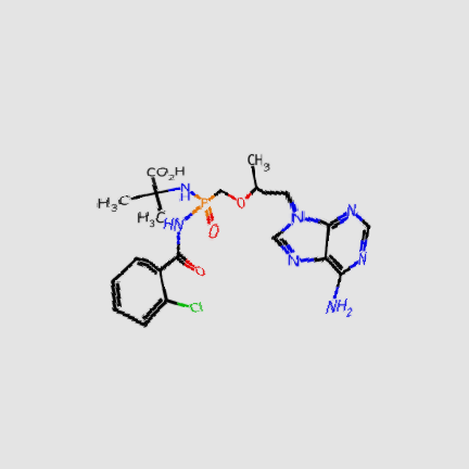 CC(Cn1cnc2c(N)ncnc21)OCP(=O)(NC(=O)c1ccccc1Cl)NC(C)(C)C(=O)O